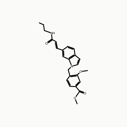 CCCNC(=O)C=Cc1ccc2ccn(Cc3ccc(C(=O)OC)cc3OC)c2c1